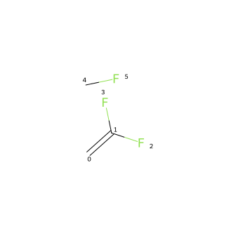 C=C(F)F.CF